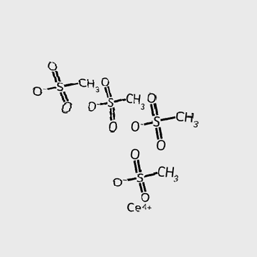 CS(=O)(=O)[O-].CS(=O)(=O)[O-].CS(=O)(=O)[O-].CS(=O)(=O)[O-].[Ce+4]